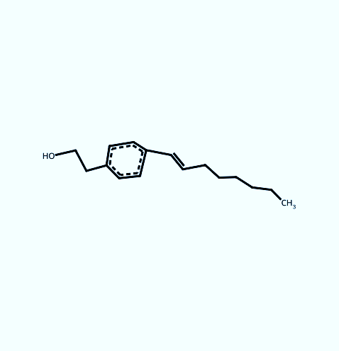 CCCCCCC=Cc1ccc(CCO)cc1